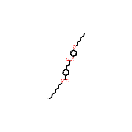 [CH2]CCCCCCCOC(=O)c1ccc(/C=C/C(=O)Oc2ccc(OCCCCCC)cc2)cc1